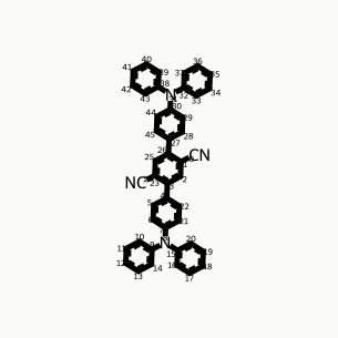 N#Cc1cc(-c2ccc(N(c3ccccc3)c3ccccc3)cc2)c(C#N)cc1-c1ccc(N(c2ccccc2)c2ccccc2)cc1